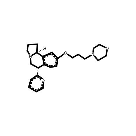 c1ccc([C@@H]2CN3CCC[C@H]3c3cc(OCCCN4CCOCC4)ccc32)nc1